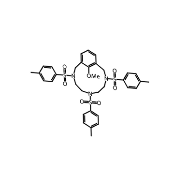 COc1c2cccc1CN(S(=O)(=O)c1ccc(C)cc1)CCN(S(=O)(=O)c1ccc(C)cc1)CCN(S(=O)(=O)c1ccc(C)cc1)C2